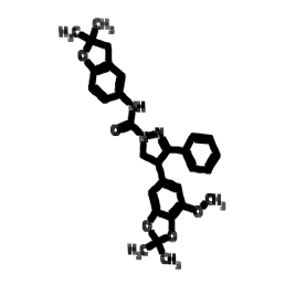 COc1cc(C2CN(C(=O)Nc3ccc4c(c3)CC(C)(C)O4)N=C2c2ccccc2)cc2c1OC(C)(C)O2